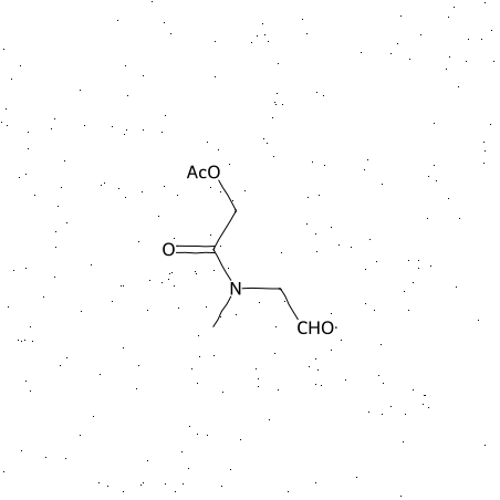 CC(=O)OCC(=O)N(C)C[C]=O